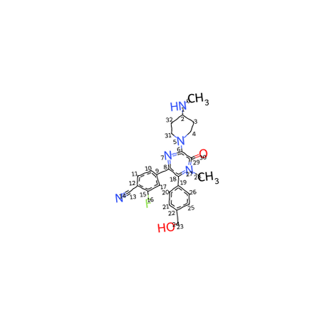 CNC1CCN(c2nc(-c3ccc(C#N)c(F)c3)c(-c3ccc(CO)cc3)n(C)c2=O)CC1